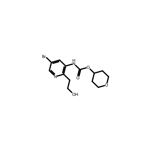 O=C(Nc1cc(Br)cnc1CCO)OC1CCOCC1